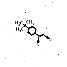 CC(C)(C)c1ccc(/C(C#N)=C/C#N)cc1